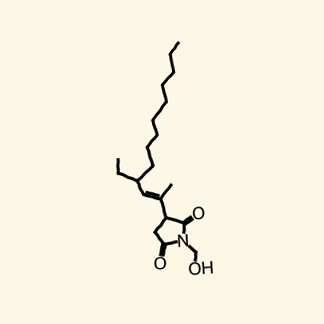 CCCCCCCCCC(C=C(C)C1CC(=O)N(CO)C1=O)CC